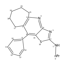 CCCNc1nc2nc3c(c(-c4ccccc4)c2s1)CCCCC3